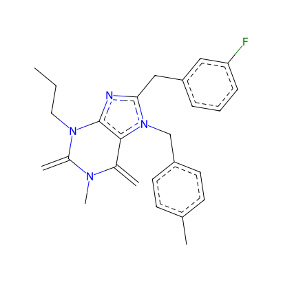 C=C1c2c(nc(Cc3cccc(F)c3)n2Cc2ccc(C)cc2)N(CCC)C(=C)N1C